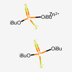 CC(C)COP(=S)([S-])OCC(C)C.CC(C)COP(=S)([S-])OCC(C)C.[Zn+2]